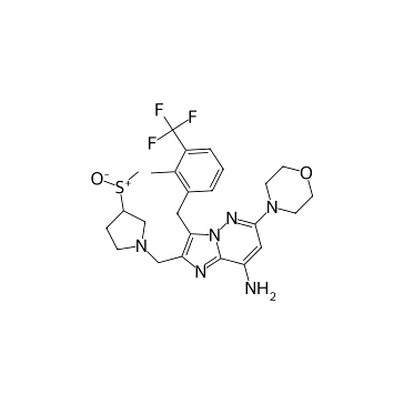 Cc1c(Cc2c(CN3CCC([S+](C)[O-])C3)nc3c(N)cc(N4CCOCC4)nn23)cccc1C(F)(F)F